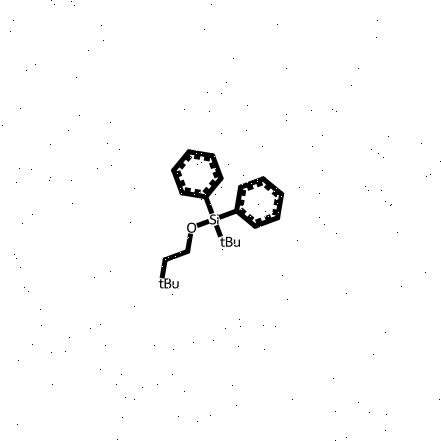 CC(C)(C)CCO[Si](c1ccccc1)(c1ccccc1)C(C)(C)C